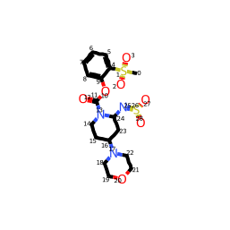 CS(=O)(=O)c1ccccc1OC(=O)N1CCC(N2CCOCC2)CC1N=S(=O)=O